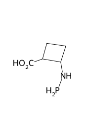 O=C(O)C1CCC1NP